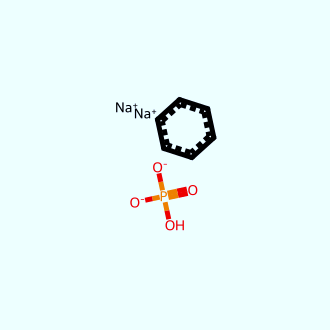 O=P([O-])([O-])O.[Na+].[Na+].c1ccccc1